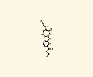 CCOC(=O)c1ccnc(CN2CCCN(CCOC)C(=O)C2)c1